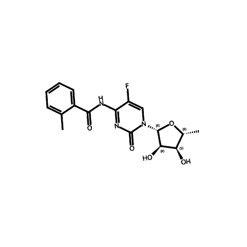 Cc1ccccc1C(=O)Nc1nc(=O)n([C@@H]2O[C@H](C)[C@@H](O)[C@H]2O)cc1F